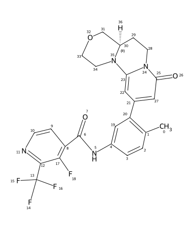 Cc1ccc(NC(=O)c2ccnc(C(F)(F)F)c2F)cc1-c1cc2n(c(=O)c1)CC[C@@H]1COCCN21